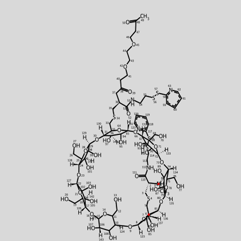 CN[C@H](CSCC1O[C@H]2O[C@@H]3C(CO)O[C@H](O[C@@H]4C(CO)O[C@H](O[C@@H]5C(CO)O[C@@H](O[C@@H]6C(CSC[C@@H](CC(=O)CCOCCOCCC(C)=O)C(=O)NCCSSc7ccccn7)O[C@H](O[C@@H]7C(CO)O[C@@H](O[C@@H]8C(CO)O[C@@H](O[C@H]1[C@H](O)C2O)C(O)[C@H]8O)C(O)[C@H]7O)C(O)[C@H]6O)C(O)[C@H]5O)C(O)[C@H]4O)[C@@H](O)C3O)C(=O)NCCSSc1ccccn1